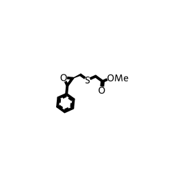 COC(=O)CSC[C@@H]1OC1c1ccccc1